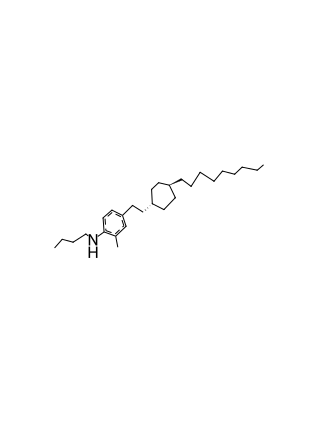 CCCCCCCCC[C@H]1CC[C@H](CCc2ccc(NCCCC)c(C)c2)CC1